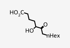 CCCCCCCC(=O)C(O)CCCC(=O)O